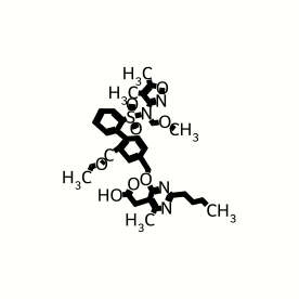 CCCCc1nc(C)c(CC(=O)O)c(OCc2ccc(-c3ccccc3S(=O)(=O)N(COC)c3noc(C)c3C)c(COCC)c2)n1